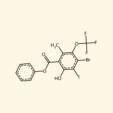 Cc1c(OC(F)(F)F)c(Br)c(I)c(O)c1C(=O)Oc1ccccc1